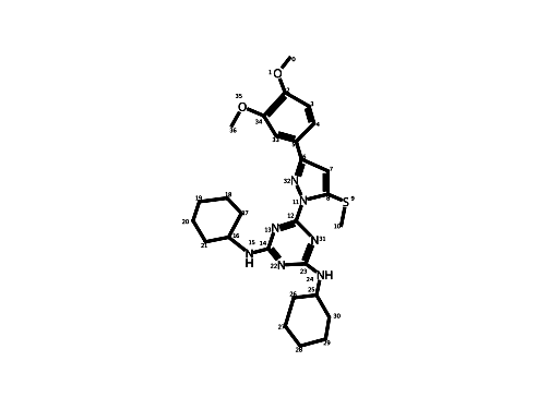 COc1ccc(-c2cc(SC)n(-c3nc(NC4CCCCC4)nc(NC4CCCCC4)n3)n2)cc1OC